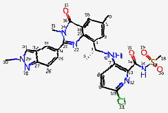 Cc1cc([C@@H](C)Nc2ccc(Cl)nc2C(=O)NS(C)(=O)=O)c2nc(-c3ccc4nn(C)cc4c3)n(C)c(=O)c2c1